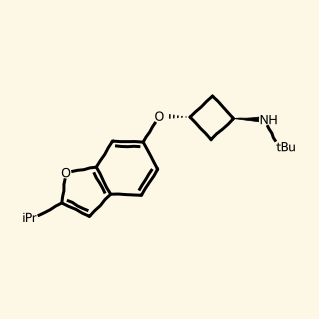 CC(C)c1cc2ccc(O[C@H]3C[C@H](NC(C)(C)C)C3)cc2o1